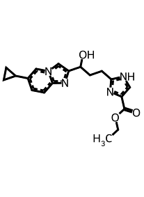 CCOC(=O)c1c[nH]c(CCC(O)c2cn3cc(C4CC4)ccc3n2)n1